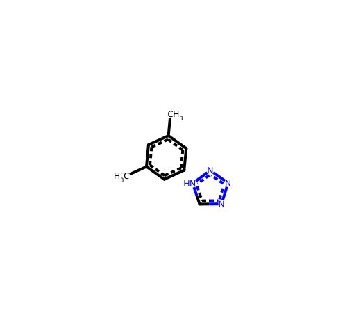 Cc1cccc(C)c1.c1nnn[nH]1